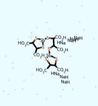 O=C(O)C1[S][Sb]([S]C(C(=O)O)C([S][Sb]2[S]C(C(=O)O)C(C(=O)O)[S]2)C(=O)O)[S]C1C(=O)O.[NaH].[NaH].[NaH].[NaH].[NaH].[NaH].[NaH]